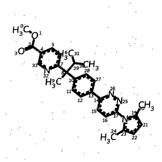 COC(=O)c1ccc(C(C)(c2ccc(-c3ccc(-n4c(C)ccc4C)nn3)cc2)C(C)C)nc1